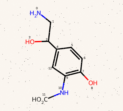 NCC(O)c1ccc(O)c(NC(=O)O)c1